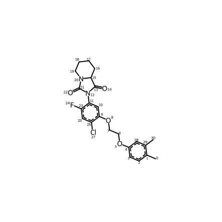 Cc1ccc(OCCOc2cc(N3C(=O)C4CCCCN4C3=O)c(F)cc2Cl)cc1C